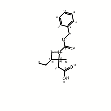 CC[C@H]1CN(C(=O)OCc2ccccc2)[C@]1(C)CC(=O)O